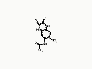 O=C(Nc1cc2[nH]c(=O)c(=O)[nH]c2cc1[N+](=O)[O-])C(F)(F)F